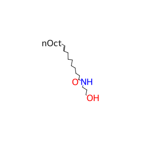 CCCCCCCCC=CCCCCCCCC(=O)NCCCO